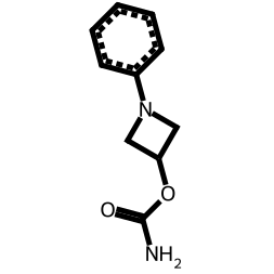 NC(=O)OC1CN(c2ccccc2)C1